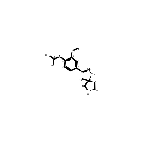 COc1cc(C2=NOC3(CCOC3)C2)ccc1OC(F)F